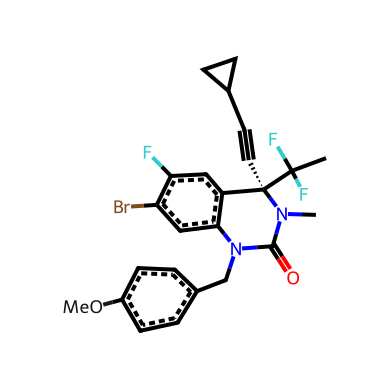 COc1ccc(CN2C(=O)N(C)[C@](C#CC3CC3)(C(C)(F)F)c3cc(F)c(Br)cc32)cc1